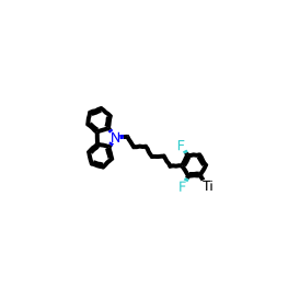 Fc1cc[c]([Ti])c(F)c1CCCCCCn1c2ccccc2c2ccccc21